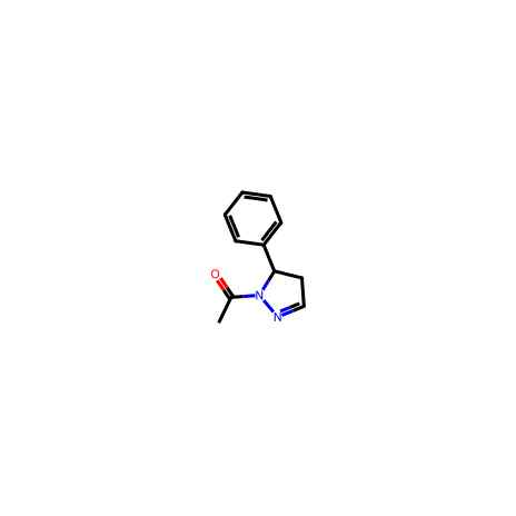 CC(=O)N1N=CCC1c1ccccc1